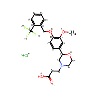 COc1cc(C2CN(CCC(=O)O)CCO2)ccc1OCc1ccccc1C(F)(F)F.Cl